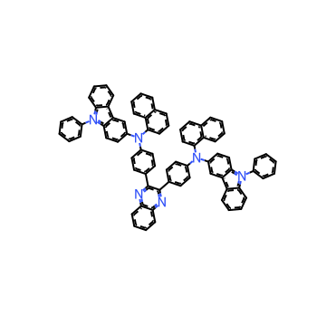 c1ccc(-n2c3ccccc3c3cc(N(c4ccc(-c5nc6ccccc6nc5-c5ccc(N(c6ccc7c(c6)c6ccccc6n7-c6ccccc6)c6cccc7ccccc67)cc5)cc4)c4cccc5ccccc45)ccc32)cc1